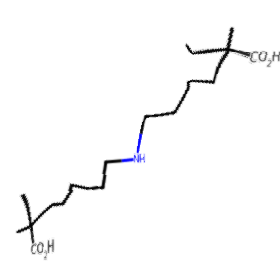 CC(C)(CCCCNCCCCC(C)(C)C(=O)O)C(=O)O